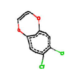 Clc1cc2c(cc1Cl)OC=CO2